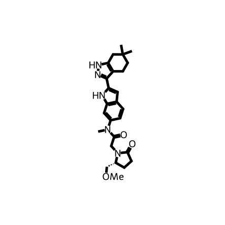 COC[C@H]1CCC(=O)N1CC(=O)N(C)c1ccc2cc(-c3n[nH]c4c3CCC(C)(C)C4)[nH]c2c1